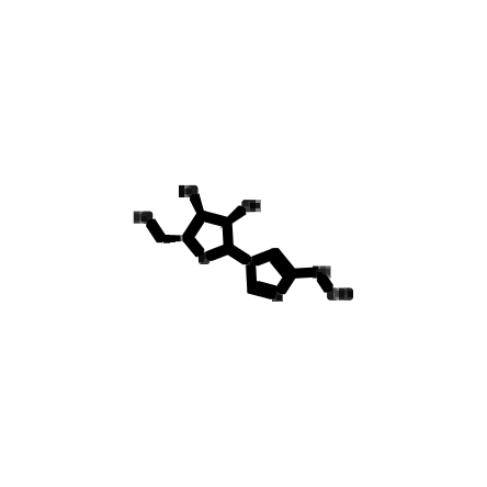 O=CNc1cn(C2O[C@H](CO)[C@@H](O)[C@H]2O)cn1